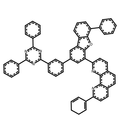 C1=CC(c2ccc3ccc4ccc(-c5cc(-c6cccc(-c7nc(-c8ccccc8)nc(-c8ccccc8)n7)c6)cc6c5oc5c(-c7ccccc7)cccc56)nc4c3n2)=CCC1